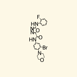 O=C(Nc1ccc(N2CCOCC2)c(Br)c1)c1nnc(Nc2ccccc2F)o1